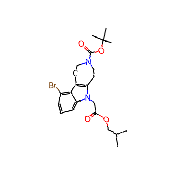 CC(C)COC(=O)Cn1c2c(c3c(Br)cccc31)CCN(C(=O)OC(C)(C)C)CC2